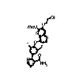 COc1nc2c(Oc3c(F)cc(-c4ncccc4C(N)=O)cc3F)ccnc2cc1OCCO